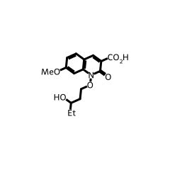 CCC(O)CCOn1c(=O)c(C(=O)O)cc2ccc(OC)cc21